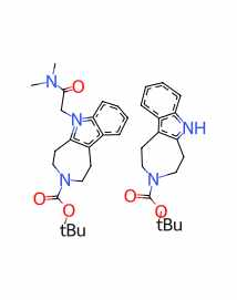 CC(C)(C)OC(=O)N1CCc2[nH]c3ccccc3c2CC1.CN(C)C(=O)Cn1c2c(c3ccccc31)CCN(C(=O)OC(C)(C)C)CC2